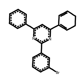 Brc1cccc(-c2nc(C3=CCCC=C3)cc(-c3ccccc3)n2)c1